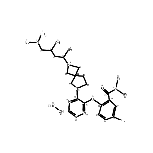 CCN(C)CC(O)CC(C(C)C)N1CC2(CCN(c3ncnnc3Oc3ccc(F)cc3C(=O)N(CC)C(C)C)C2)C1.O=CO